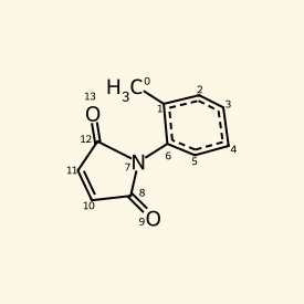 Cc1ccccc1N1C(=O)C=CC1=O